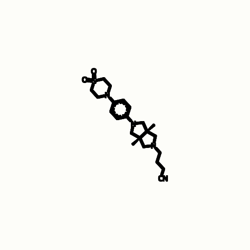 C[C@@]12CN(CCCC#N)C[C@]1(C)CN(c1ccc(N3CCS(=O)(=O)CC3)cc1)C2